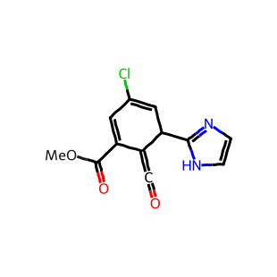 COC(=O)C1=CC(Cl)=CC(c2ncc[nH]2)C1=C=O